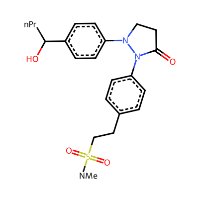 CCCC(O)c1ccc(N2CCC(=O)N2c2ccc(CCS(=O)(=O)NC)cc2)cc1